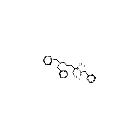 CCC(CCCN(Cc1ccccc1)Cc1ccccc1)N(C)NCc1ccccc1